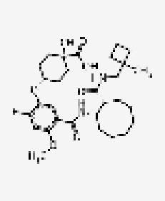 COc1cc(F)c(O[C@H]2CC[C@@](C)(C(=O)O)CC2)cc1C(=O)N[C@H]1CCCCCC[C@H]1C(=O)NCC1(C)CCC1